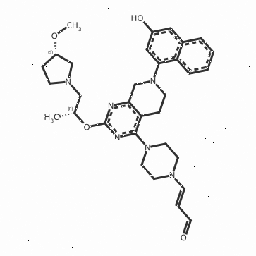 CO[C@H]1CCN(C[C@@H](C)Oc2nc3c(c(N4CCN(C=CC=O)CC4)n2)CCN(c2cc(O)cc4ccccc24)C3)C1